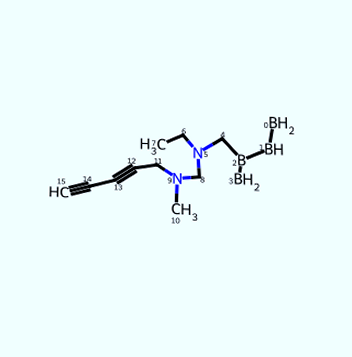 BBB(B)CN(CC)CN(C)CC#CC#C